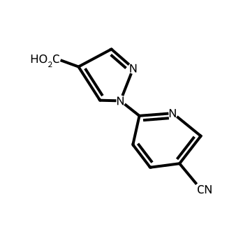 N#Cc1ccc(-n2cc(C(=O)O)cn2)nc1